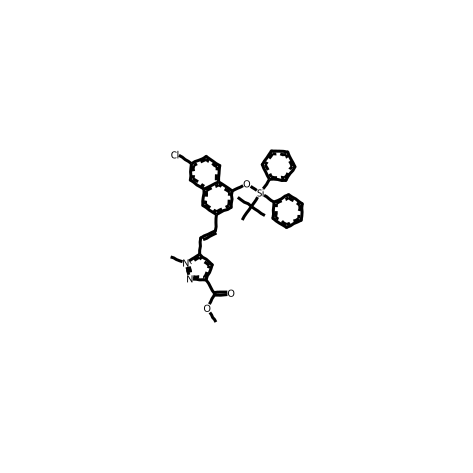 COC(=O)c1cc(C=Cc2cc(O[Si](c3ccccc3)(c3ccccc3)C(C)(C)C)c3ccc(Cl)cc3c2)n(C)n1